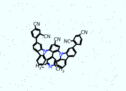 Cc1cc(-c2c(-n3c4ccccc4c4ccc(-c5ccc(C#N)cc5C#N)cc43)cc(C#N)cc2-n2c3ccccc3c3ccc(-c4ccc(C#N)cc4C#N)cc32)cc(C)n1